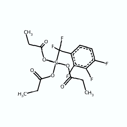 CCC(=O)O[Si](OC(=O)CC)(OC(=O)CC)C(F)(F)c1ccc(F)c(F)c1F